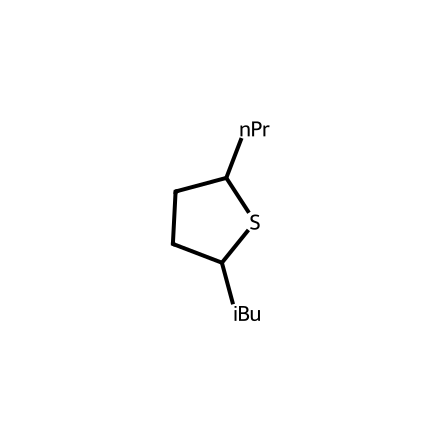 CCCC1CCC(C(C)CC)S1